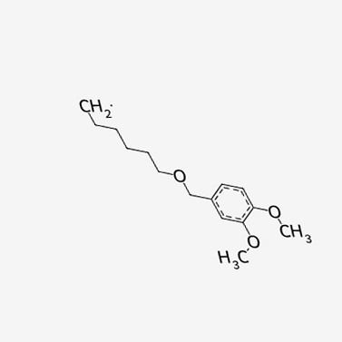 [CH2]CCCCCOCc1ccc(OC)c(OC)c1